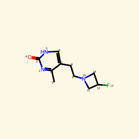 Cc1nc(=O)[nH]cc1CCN1CC(F)C1